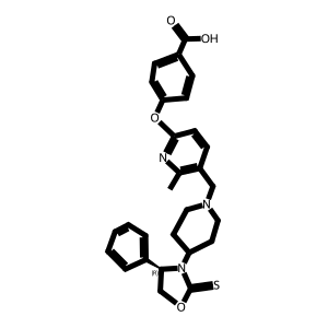 Cc1nc(Oc2ccc(C(=O)O)cc2)ccc1CN1CCC(N2C(=S)OC[C@H]2c2ccccc2)CC1